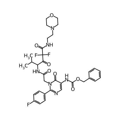 CC(C)C(NC(=O)Cn1c(-c2ccc(F)cc2)ncc(NC(=O)OCc2ccccc2)c1=O)C(=O)C(F)(F)C(=O)NCCN1CCOCC1